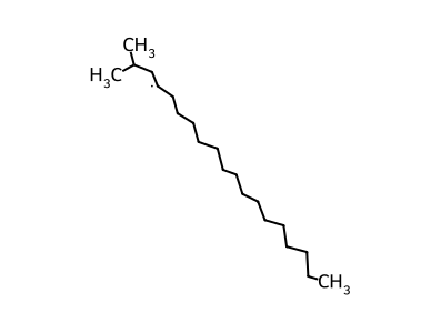 CCCCCCCCCCCCCCC[CH]CC(C)C